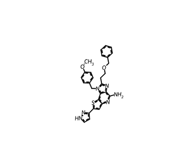 COc1ccc(Cn2c(CCOCc3ccccc3)nc3c(N)nc4cc(-c5cc[nH]n5)sc4c32)cc1